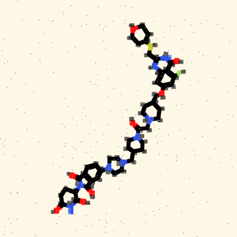 O=C1CCC(N2C(=O)c3ccc(N4CCN(CC5CCN(C(=O)CN6CCC(COc7cc(F)c8c(=O)[nH]c(CSC9CCOCC9)nc8c7)CC6)CC5)CC4)cc3C2=O)C(=O)N1